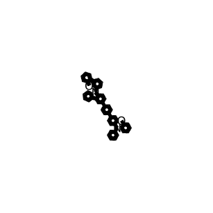 c1ccc(N2c3ccccc3Oc3cc(-c4ccc(-c5ccc6c(c5)c5ccccc5n6-c5cccc6c5oc5ccccc56)cc4)ccc32)cc1